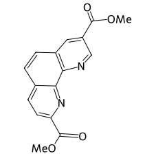 COC(=O)c1cnc2c(ccc3ccc(C(=O)OC)nc32)c1